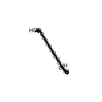 O=C(CCSSc1ccccn1)NCCOCCOCCOCCOCCOCCOCCOCCOCCOCCOCCn1cc(CO)nn1